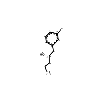 CCC[C@H](O)Cc1cccc(I)c1